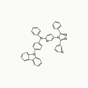 c1ccc(-c2nnc(-c3cccnc3)n2-c2ccc(N(c3ccccc3)c3ccc(-n4c5ccccc5c5ccccc54)cc3)nc2)cc1